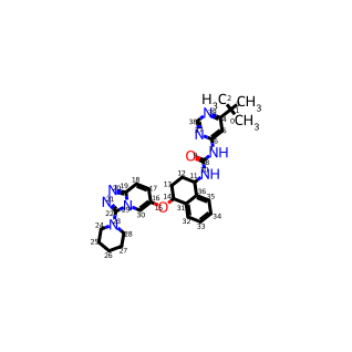 CC(C)(C)c1cc(NC(=O)NC2CCC(Oc3ccc4nnc(N5CCCCC5)n4c3)c3ccccc32)ncn1